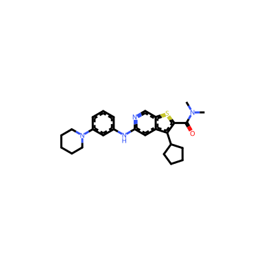 CN(C)C(=O)c1sc2cnc(Nc3cccc(N4CCCCC4)c3)cc2c1C1CCCC1